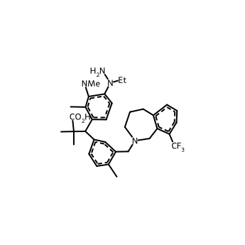 CCN(N)c1ccc(C(c2ccc(C)c(CN3CCCc4cccc(C(F)(F)F)c4C3)c2)C(C)(C)C(=O)O)c(C)c1NC